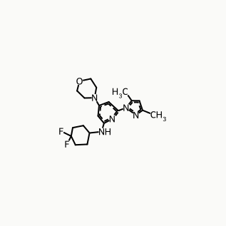 Cc1cc(C)n(-c2cc(N3CCOCC3)cc(NC3CCC(F)(F)CC3)n2)n1